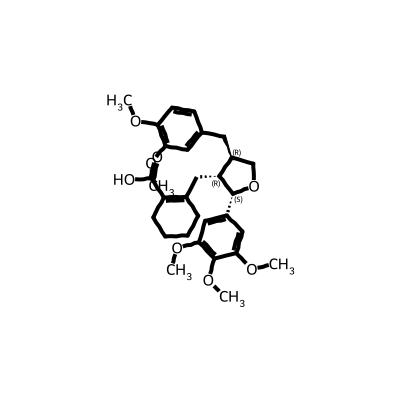 COc1ccc(C[C@H]2CO[C@H](c3cc(OC)c(OC)c(OC)c3)[C@@H]2CC2=C(C(=O)O)CCCC2)cc1OC